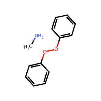 CN.c1ccc(OOc2ccccc2)cc1